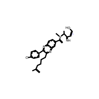 C=C(C)CCCCc1nc2cc(C(=C)N(C)C(C)C(=N)/C=C\O)ccc2nc1-c1ccc(Cl)cc1